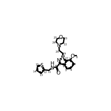 COc1cccc2c(C(=O)NCc3cccs3)nn(CCN3CCOCC3)c12